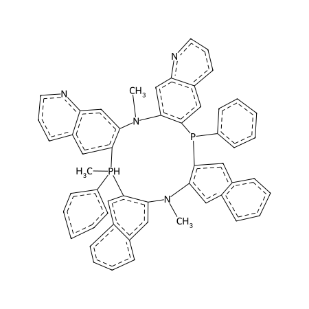 CN1c2cc3ccccc3cc2P(c2ccccc2)c2cc3cccnc3cc2N(C)c2cc3ncccc3cc2[PH](C)(c2ccccc2)c2cc3ccccc3cc21